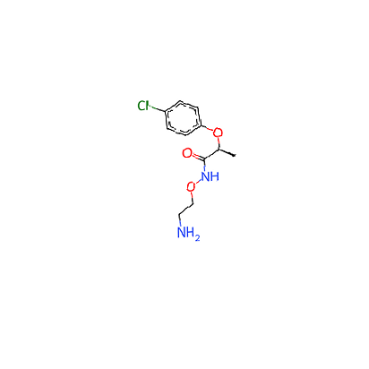 C[C@H](Oc1ccc(Cl)cc1)C(=O)NOCCN